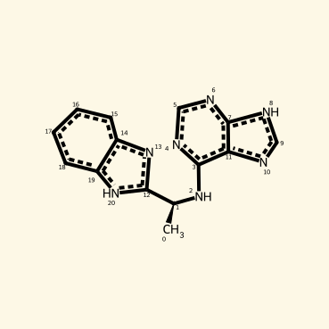 C[C@H](Nc1ncnc2[nH]cnc12)c1nc2ccccc2[nH]1